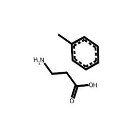 Cc1ccccc1.NCCC(=O)O